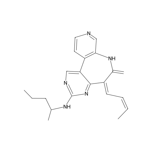 C=C1Nc2cnccc2-c2cnc(NC(C)CCC)nc2/C1=C/C=C\C